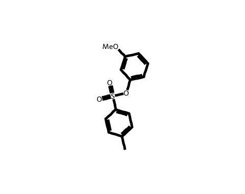 COc1cccc(OS(=O)(=O)c2ccc(C)cc2)c1